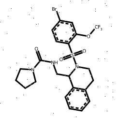 O=C(NCC1c2ccccc2CCN1S(=O)(=O)c1ccc(Br)cc1OC(F)(F)F)N1CCCC1